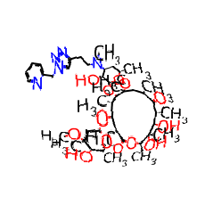 CC[C@H]1OC(=O)[C@H](C)[C@@H](O[C@H]2C[C@@](C)(OC)[C@@H](O)[C@H](C)O2)[C@H](C)[C@@H](O[C@@H]2O[C@H](C)C[C@H](N(C)CCc3cn(Cc4ccccn4)nn3)[C@H]2O)[C@](C)(OC)C[C@@H](C)C(=O)[C@H](C)[C@@H](O)[C@]1(C)O